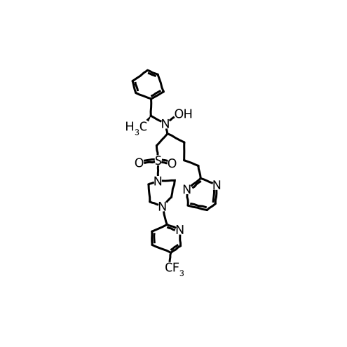 C[C@@H](c1ccccc1)N(O)C(CCCc1ncccn1)CS(=O)(=O)N1CCN(c2ccc(C(F)(F)F)cn2)CC1